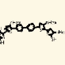 CCCCCCc1cc(-c2sc(-c3ccc(-c4ccc(-c5sc(-c6sc(S)cc6CCCCCC)cc5CCCCCC)cc4)cc3)cc2CCCCCC)sc1S